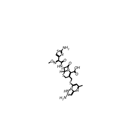 CON=C(C(=O)N[C@@H]1C(=O)N2C(C(=O)O)=C(CSC3=CC(C)=NC4=CN(N)NN43)CS[C@H]12)c1csc(N)n1